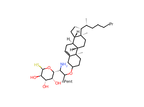 CCCCCC(OC1CC[C@@]2(C)C(=CC[C@H]3[C@@H]4CC[C@H]([C@H](C)CCCC(C)C)[C@@]4(C)CC[C@@H]32)C1)C(N)[C@H]1O[C@H](S)[C@H](O)[C@@H](O)[C@H]1O